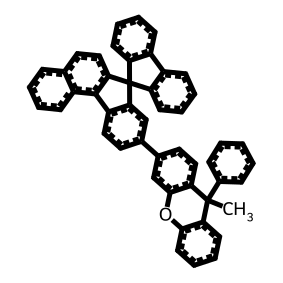 CC1(c2ccccc2)c2ccccc2Oc2cc(-c3ccc4c(c3)C3(c5ccccc5-c5ccccc53)c3ccc5ccccc5c3-4)ccc21